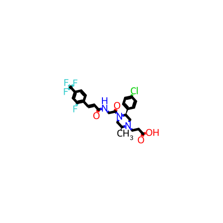 C[C@@H]1CN(C(=O)CNC(=O)/C=C/c2ccc(C(F)(F)F)cc2F)[C@@H](c2ccc(Cl)cc2)CN1CCC(=O)O